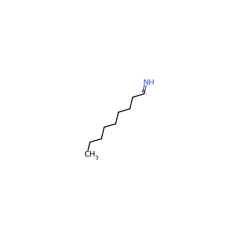 CCCCCCCC[C]=N